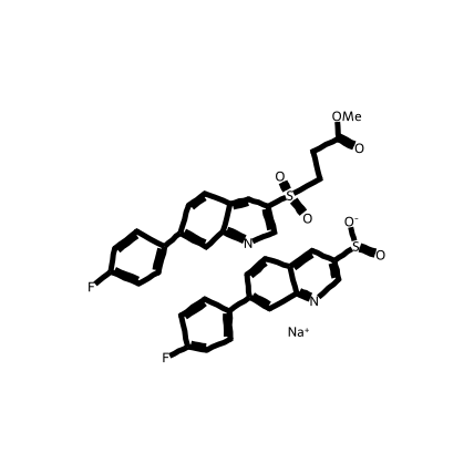 COC(=O)CCS(=O)(=O)c1cnc2cc(-c3ccc(F)cc3)ccc2c1.O=S([O-])c1cnc2cc(-c3ccc(F)cc3)ccc2c1.[Na+]